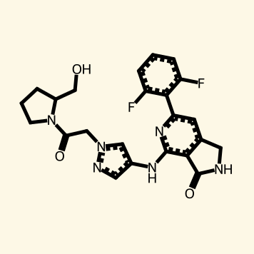 O=C1NCc2cc(-c3c(F)cccc3F)nc(Nc3cnn(CC(=O)N4CCCC4CO)c3)c21